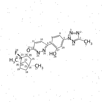 Cc1nnn(-c2ccc(-c3ccc(O[C@@H]4C[C@@]5(C)CC[C@](C)(C5)[C@H]4F)nn3)c(O)c2)n1